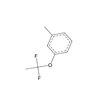 Cc1cccc(OC(C)(F)F)c1